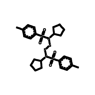 Cc1ccc(S(=O)(=O)N(SSN(C2CCCC2)S(=O)(=O)c2ccc(C)cc2)C2CCCC2)cc1